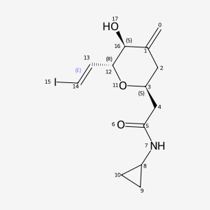 C=C1C[C@@H](CC(=O)NC2CC2)O[C@H](/C=C/I)[C@H]1O